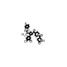 CN(C(=O)Oc1ccc(F)cc1)[C@@H]1CN(C(=O)C2CCN(C(=O)C3CCC(=O)NC3)CC2)C[C@H]1c1ccc(Cl)c(Cl)c1